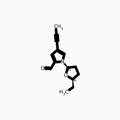 CC#Cc1cc(C=O)n([C@H]2CC[C@@H](CC)O2)c1